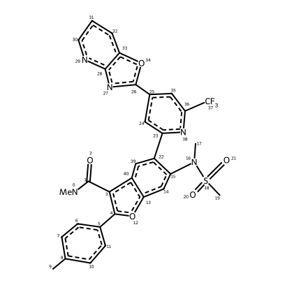 CNC(=O)c1c(-c2ccc(C)cc2)oc2cc(N(C)S(C)(=O)=O)c(-c3cc(-c4nc5ncccc5o4)cc(C(F)(F)F)n3)cc12